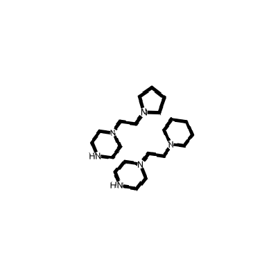 C1CCN(CCN2CCNCC2)C1.C1CCN(CCN2CCNCC2)CC1